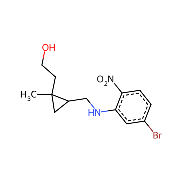 CC1(CCO)CC1CNc1cc(Br)ccc1[N+](=O)[O-]